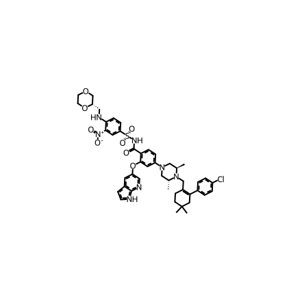 C[C@@H]1CN(c2ccc(C(=O)NS(=O)(=O)c3ccc(NC[C@H]4COCCO4)c([N+](=O)[O-])c3)c(Oc3cnc4[nH]ccc4c3)c2)C[C@@H](C)N1CC1=C(c2ccc(Cl)cc2)CC(C)(C)CC1